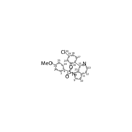 COc1ccc(S(=O)(=O)n2ccc3ccnc(-c4ccc(Cl)cc4)c32)cc1